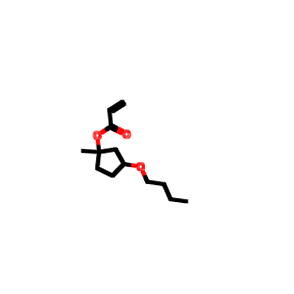 C=CC(=O)OC1(C)CCC(OCCCC)C1